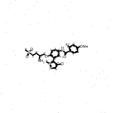 COc1ccc(C(=O)Nc2ccc(OCC(N)CCS(C)(=O)=O)c(-c3c(Cl)cnn3C)c2)c(F)c1